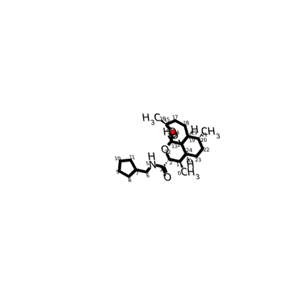 C[C@H]1[C@H](C(=O)NCC2CCCC2)O[C@@H]2O[C@@]3(C)CC[C@H]4[C@H](C)CC[C@@H]1[C@@]24OO3